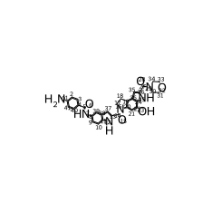 Nc1ccc(C(=O)Nc2ccc3[nH]c(C(=O)N4CCc5c4cc(O)c4[nH]c(C(=O)N6CCOCC6)cc54)cc3c2)cc1